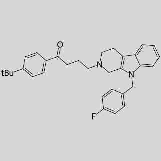 CC(C)(C)c1ccc(C(=O)CCCN2CCc3c(n(Cc4ccc(F)cc4)c4ccccc34)C2)cc1